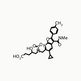 CNC(=O)c1c(-c2ccc(C)cc2)oc2nc(CN(CC(O)CCC(=O)O)[SH](=O)=O)c(C3CC3)cc12